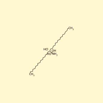 CCCCCCCCCCCCCCCCC(CCCCCCCCCCCCCCCC)C(N)(O)O.Cl